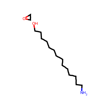 C1CO1.NCCCCCCCCCCCCCCO